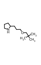 CC(C)(C)COCCCC1CCCN1